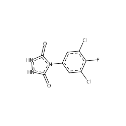 O=c1[nH][nH]c(=O)n1-c1cc(Cl)c(F)c(Cl)c1